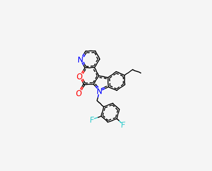 CCc1ccc2c(c1)c1c3cccnc3oc(=O)c1n2Cc1ccc(F)cc1F